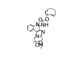 CCOCc1nc2c(NC(=O)OC3/C=C/CCCCC3)nc3ccccc3c2n1CC(C)(C)O